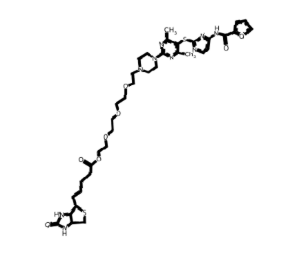 Cc1nc(N2CCN(CCOCCOCCOCCOC(=O)CCCCC3SCC4NC(=O)NC43)CC2)nc(C)c1Sc1nccc(NC(=O)c2ccco2)n1